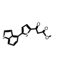 COC(=O)CC(=O)c1ccc(-c2cccc3sccc23)s1